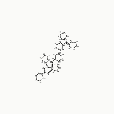 c1ccc(-c2cccc(-c3ccccc3-n3c4ccccc4c4ccc(-c5ccc6c7ccccc7n(-c7ccccc7)c6c5)cc43)c2)cc1